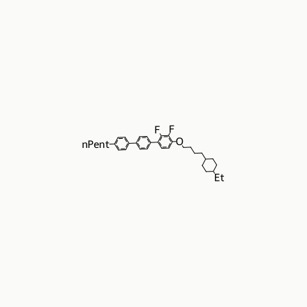 CCCCCc1ccc(-c2ccc(-c3ccc(OCCCCC4CCC(CC)CC4)c(F)c3F)cc2)cc1